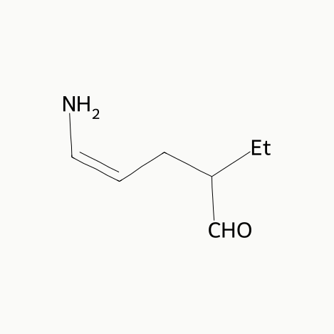 CCC(C=O)C/C=C\N